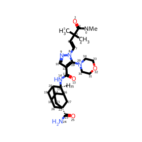 CNC(=O)C(C)(C)/C=C/n1ncc(C(=O)N[C@H]2C3CC4CC2C[C@](C(N)=O)(C4)C3)c1N1CCOCC1